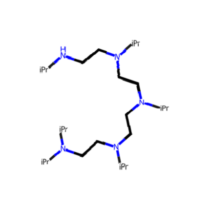 CC(C)NCCN(CCN(CCN(CCN(C(C)C)C(C)C)C(C)C)C(C)C)C(C)C